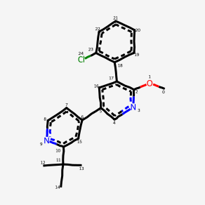 COc1ncc(-c2ccnc(C(C)(C)C)c2)cc1-c1cc[c]cc1Cl